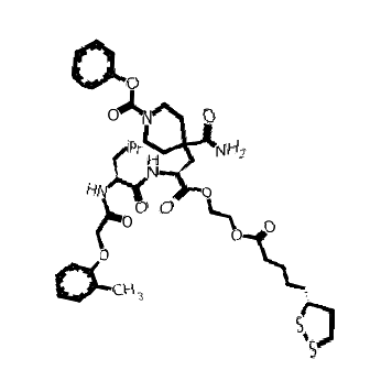 Cc1ccccc1OCC(=O)N[C@@H](CC(C)C)C(=O)N[C@@H](CC1(C(N)=O)CCN(C(=O)Oc2ccccc2)CC1)C(=O)OCCOC(=O)CCCC[C@@H]1CCSS1